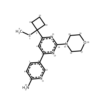 CSC1(c2cc(-c3ccc(N)nc3)nc(N3CCOCC3)n2)CCC1